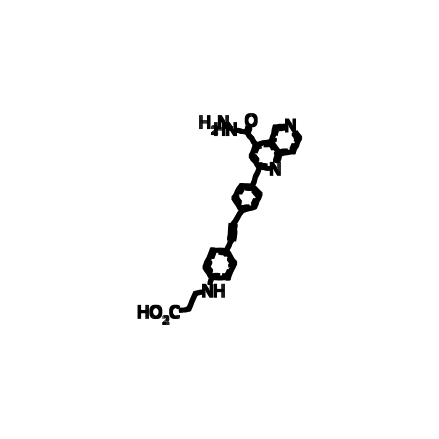 NNC(=O)c1cc(-c2ccc(C#Cc3ccc(NCCC(=O)O)cc3)cc2)nc2ccncc12